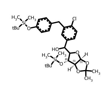 CC1(C)O[C@@H]2OC(C(O)c3ccc(Cl)c(Cc4ccc(O[Si](C)(C)C(C)(C)C)cc4)c3)[C@@H](O[Si](C)(C)C(C)(C)C)[C@@H]2O1